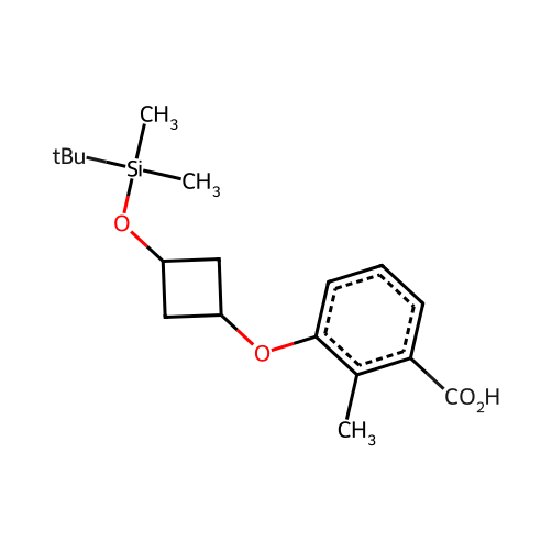 Cc1c(OC2CC(O[Si](C)(C)C(C)(C)C)C2)cccc1C(=O)O